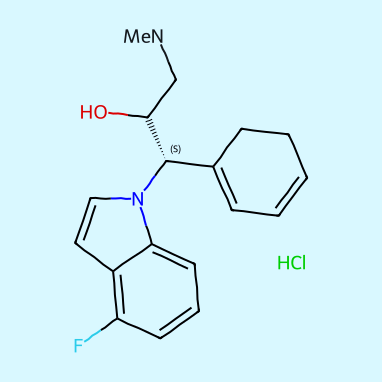 CNCC(O)[C@H](C1=CC=CCC1)n1ccc2c(F)cccc21.Cl